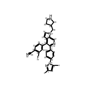 Cc1cc(C)n(-c2ccc(-c3ncc4c(ccn4CC4CCNC4)c3-c3ccc(C#N)c(F)c3)cc2)n1